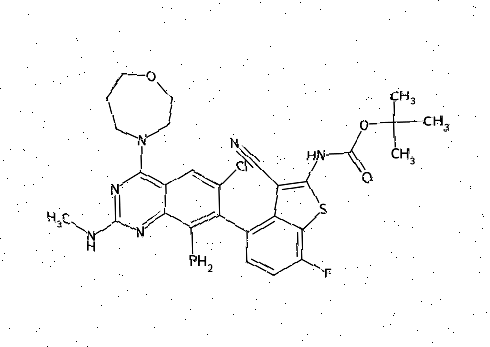 CNc1nc(N2CCCOCC2)c2cc(Cl)c(-c3ccc(F)c4sc(NC(=O)OC(C)(C)C)c(C#N)c34)c(P)c2n1